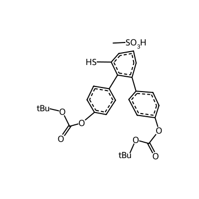 CC(C)(C)OC(=O)Oc1ccc(-c2cccc(S)c2-c2ccc(OC(=O)OC(C)(C)C)cc2)cc1.CS(=O)(=O)O